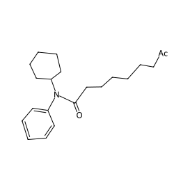 CC(=O)CCCCCCC(=O)N(c1ccccc1)C1CCCCC1